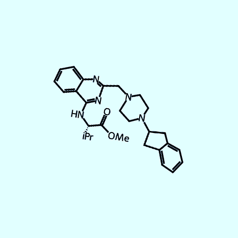 COC(=O)[C@@H](Nc1nc(CN2CCN(C3Cc4ccccc4C3)CC2)nc2ccccc12)C(C)C